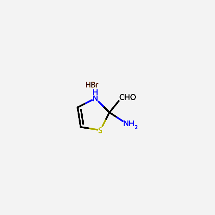 Br.NC1(C=O)NC=CS1